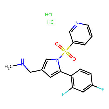 CNCc1cc(-c2ccc(F)cc2F)n(S(=O)(=O)c2cccnc2)c1.Cl.Cl